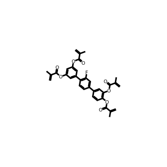 C=C(C)C(=O)Oc1cc(OC(=O)C(=C)C)cc(-c2ccc(-c3ccc(OC(=O)C(=C)C)c(OC(=O)C(=C)C)c3)cc2F)c1